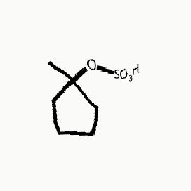 CC1(OS(=O)(=O)O)CCCC1